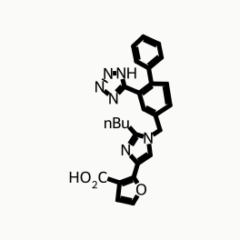 CCCCc1nc(-c2occc2C(=O)O)cn1Cc1ccc(-c2ccccc2)c(-c2nnn[nH]2)c1